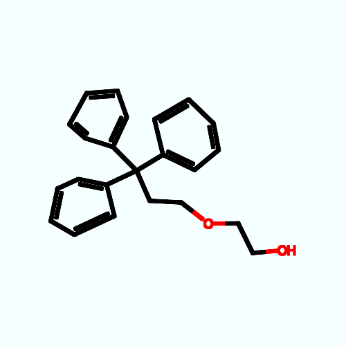 OCCOCCC(c1ccccc1)(c1ccccc1)c1ccccc1